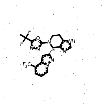 CC(F)(F)c1nnc(N2CCc3[nH]cnc3[C@@H]2c2cc3c(C(F)(F)F)cccn3n2)o1